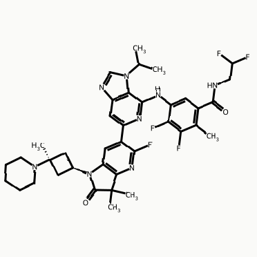 Cc1c(C(=O)NCC(F)F)cc(Nc2nc(-c3cc4c(nc3F)C(C)(C)C(=O)N4[C@H]3C[C@@](C)(N4CCCCC4)C3)cc3ncn(C(C)C)c23)c(F)c1F